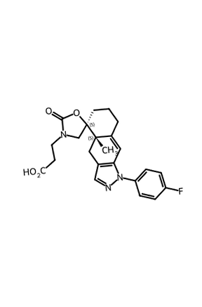 C[C@]12Cc3cnn(-c4ccc(F)cc4)c3C=C1CCC[C@@]21CN(CCC(=O)O)C(=O)O1